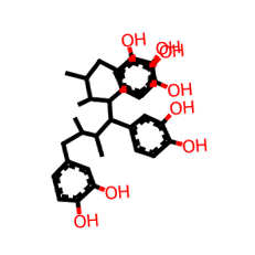 CC(Cc1ccc(O)c(O)c1)C(C)C(c1ccc(O)c(O)c1)C(c1ccc(O)c(O)c1)C(C)C(C)Cc1ccc(O)c(O)c1